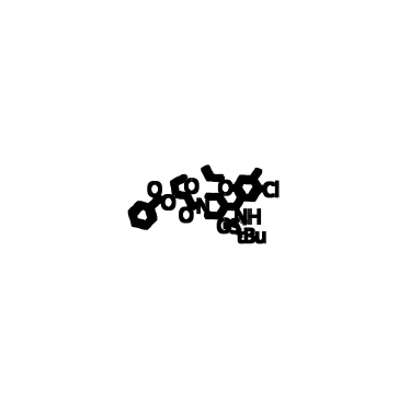 C=CCOc1cc(C)c(Cl)cc1[C@H](N[S@@+]([O-])C(C)(C)C)C1CCN(C(=O)C2OCCC2OC(=O)c2ccccc2)CC1